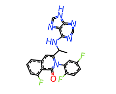 CC(Nc1ncnc2[nH]cnc12)c1cc2cccc(F)c2c(=O)n1-c1cc(F)ccc1F